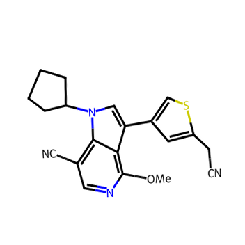 COc1ncc(C#N)c2c1c(-c1csc(CC#N)c1)cn2C1CCCC1